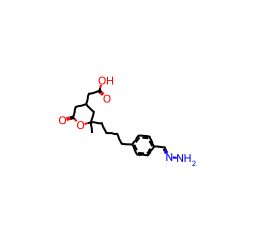 CC1(CCCCc2ccc(C=NN)cc2)CC(CC(=O)O)CC(=O)O1